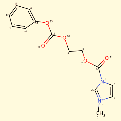 C[n+]1ccn(C(=O)OCCOC(=O)Oc2ccccc2)c1